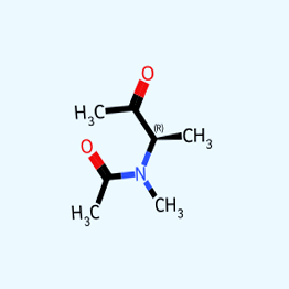 CC(=O)[C@@H](C)N(C)C(C)=O